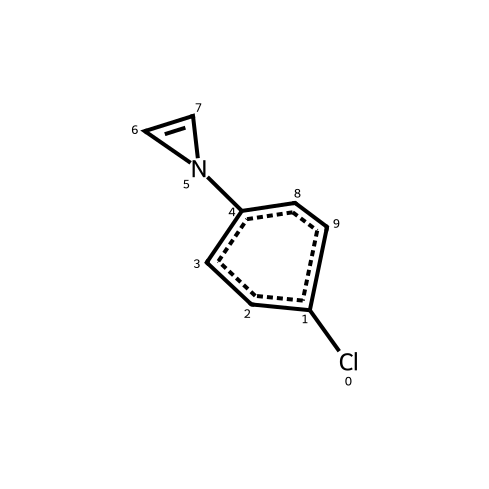 Clc1ccc(N2C=C2)cc1